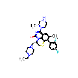 CCN1CCN(C[C@H]2CSc3c(-c4ccc(F)cc4F)c(C)cc4c(N5CCNC[C@@H]5C)nc(=O)n2c34)CC1